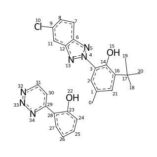 Cc1cc(-n2nc3ccc(Cl)cc3n2)c(O)c(C(C)(C)C)c1.Oc1ccccc1-c1ccnnn1